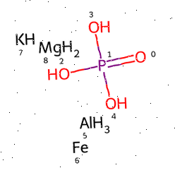 O=P(O)(O)O.[AlH3].[Fe].[KH].[MgH2]